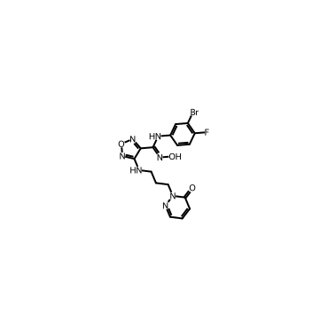 O=c1cccnn1CCCNc1nonc1C(=NO)Nc1ccc(F)c(Br)c1